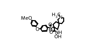 COc1ccc(Oc2ccc(S(=O)(=O)C3(C(=O)NO)CCC4(CCCN(C)C4)CC3)cc2)cc1